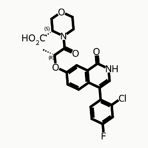 C[C@@H](Oc1ccc2c(-c3ccc(F)cc3Cl)c[nH]c(=O)c2c1)C(=O)N1CCOC[C@H]1C(=O)O